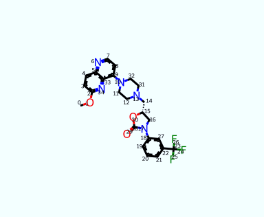 COc1ccc2nccc(N3CCN(C[C@@H]4CN(c5cccc(C(F)(F)F)c5)C(=O)O4)CC3)c2n1